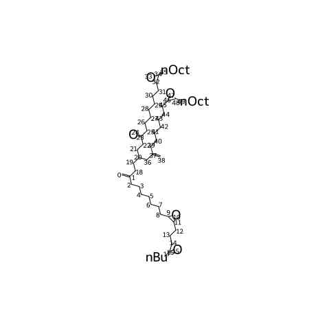 C=C(CCCCCCCC1OC1CCC1OC1CCCC)CCC(CCC(=O)CCCCCCCC1OC1CCCCCCCC)CC(=C)CCCCCCCC1OC1CCCCCCCC